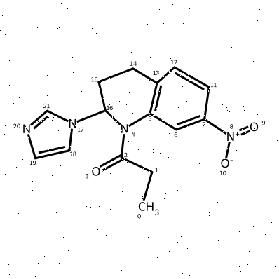 CCC(=O)N1c2cc([N+](=O)[O-])ccc2CCC1n1ccnc1